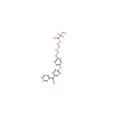 CCC(C)(C)C(=O)OCCOCCc1ccc(Sc2ccc(C(=O)c3ccccc3)cc2)cc1